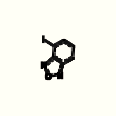 Ic1cccc2nonc12